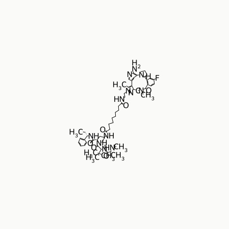 CC[C@H](NC(=O)[C@H]1C[C@@H](NC(=O)CCCCCCCCC(=O)NCCn2nc3c(c2C)-c2cnc(N)c(c2)N2CCC[C@@H]2c2cc(F)ccc2C(=O)N(C)C3)CN1C(=O)[C@H](NC(=O)[C@@H](C)NC)C(C)(C)C)c1ccccc1